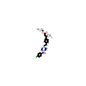 CCOC(=O)CC(C)c1ccc(CCN2CCN(C(=O)c3ccc(Cl)cc3)CC2)cc1